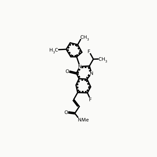 CNC(=O)/C=C/c1cc2c(=O)n(-c3cc(C)cc(C)c3)c(C(C)F)nc2cc1F